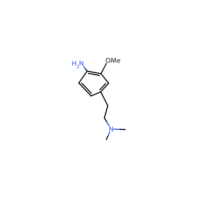 COc1cc(CCN(C)C)ccc1N